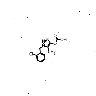 Cc1c(OC(=O)O)nnn1Cc1ccccc1Cl